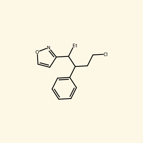 CCC(c1ccon1)C(CCCl)c1ccccc1